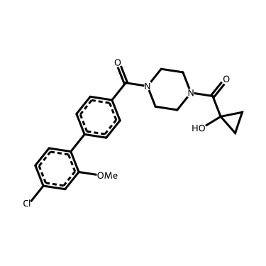 COc1cc(Cl)ccc1-c1ccc(C(=O)N2CCN(C(=O)C3(O)CC3)CC2)cc1